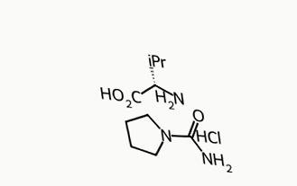 CC(C)[C@H](N)C(=O)O.Cl.NC(=O)N1CCCC1